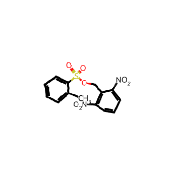 Cc1ccccc1S(=O)(=O)OCc1c([N+](=O)[O-])cccc1[N+](=O)[O-]